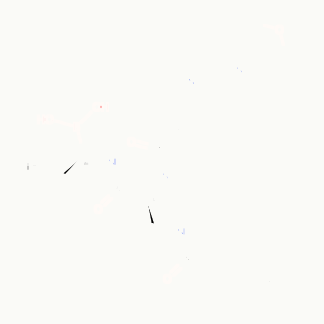 Cc1ccc(C(=O)NC[C@H](NC(=O)c2ccc(N3CCOCC3)nc2)C(=O)N[C@@H](CC(C)C)B(O)O)cc1